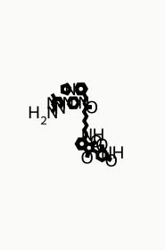 Cc1cc(N2CCC(N(Cc3cccc(N4CCCC4)c3)C(=O)CCCCCNc3cccc4c3C(=O)C(C3CCC(=O)NC3=O)C4=O)CC2)nc(N)n1